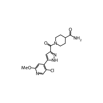 COc1cc(-c2cc(C(=O)N3CCC(C(N)=O)CC3)n[nH]2)c(Cl)cn1